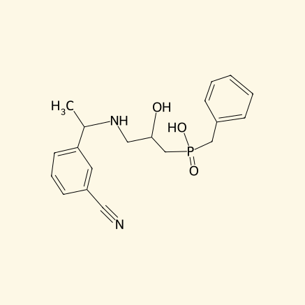 CC(NCC(O)CP(=O)(O)Cc1ccccc1)c1cccc(C#N)c1